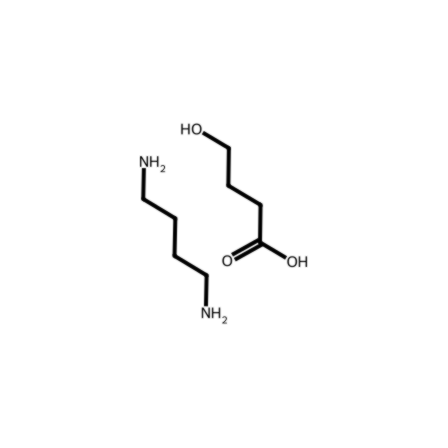 NCCCCN.O=C(O)CCCO